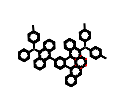 Cc1ccc(N(c2ccccc2)c2c3ccccc3c(-c3ccc(-c4c5ccccc5cc5ccccc45)c(-c4c5ccccc5c(N(c5ccc(C)cc5)c5ccc(C)cc5)c5ccccc45)c3)c3ccccc23)cc1